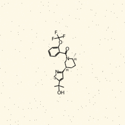 C[C@@H]1CC[C@@H](c2cc(C(C)(C)O)sn2)CN1C(=O)c1ccccc1OC(F)(F)F